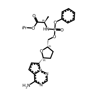 CC(C)OC(=O)[C@@H](C)NP(=O)(OC[C@@H]1CC[C@H](c2ccc3c(N)ncnn23)O1)Oc1ccccc1